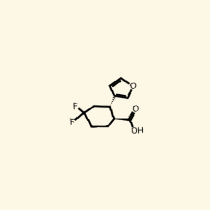 O=C(O)[C@H]1CCC(F)(F)C[C@@H]1c1ccoc1